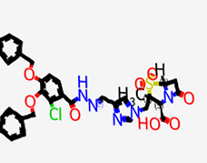 C[C@]1(Cn2cnc(/C=N/NC(=O)c3ccc(OCc4ccccc4)c(OCc4ccccc4)c3Cl)c2)[C@H](C(=O)O)N2C(=O)C[C@H]2S1(=O)=O